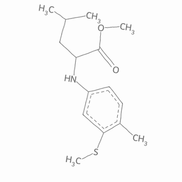 COC(=O)C(CC(C)C)Nc1ccc(C)c(SC)c1